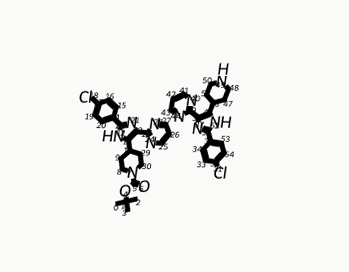 CC(C)(C)OC(=O)N1CCC(c2[nH]c(-c3ccc(Cl)cc3)nc2-c2ncccn2)CC1.Clc1ccc(-c2nc(-c3ncccn3)c(C3CCNCC3)[nH]2)cc1